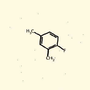 [CH2]c1cc(C)ccc1F